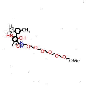 C=C(C)[C@@H]1CCC(C)=CC1c1c(O)cc(CCCCC)c(C(=O)NCCOCCOCCOCCOCCOCCOCCOC)c1O